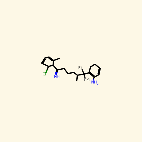 CCCC(CC)(C1=C(N)C=CCC1)C(C)CCCC(=N)C1C(C)=CC=CC1Cl